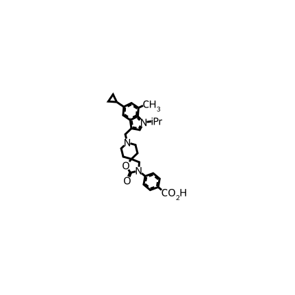 Cc1cc(C2CC2)cc2c(CN3CCC4(CC3)CN(c3ccc(C(=O)O)cc3)C(=O)O4)cn(C(C)C)c12